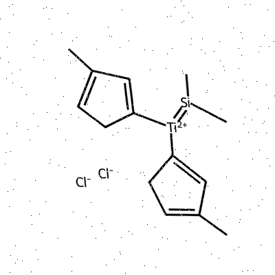 CC1=CC[C]([Ti+2]([C]2=CC(C)=CC2)=[Si](C)C)=C1.[Cl-].[Cl-]